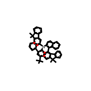 CC(C)(C)c1ccc(N(c2ccc3c(c2)-c2ccccc2C3(C)C)c2ccc3ccccc3c2-c2cccc3c2-c2ccccc2C3(C)C)c(-c2ccccc2)c1